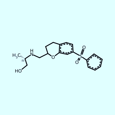 C[C@@H](CO)NCC1CCc2ccc(S(=O)(=O)c3ccccc3)cc2O1